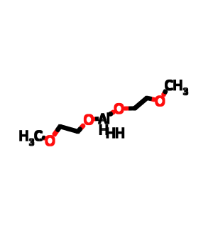 COCC[O][AlH][O]CCOC.[HH]